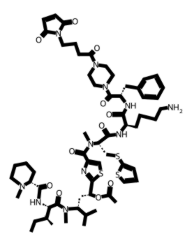 CC[C@H](C)[C@H](NC(=O)[C@H]1CCCCN1C)C(=O)N(C)[C@H](C[C@@H](OC(C)=O)c1nc(C(=O)N(C)[C@@H](CSc2cccs2)C(=O)N[C@H](CCCCN)C(=O)N[C@@H](Cc2ccccc2)C(=O)N2CCN(C(=O)CCCN3C(=O)C=CC3=O)CC2)cs1)C(C)C